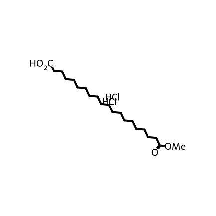 COC(=O)CCCCCCCCCCCCCCCCCCC(=O)O.Cl.Cl